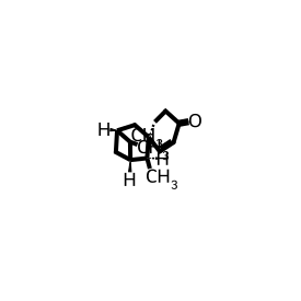 C[C@H]1[C@@H]2C[C@H](C[C@@]13C=CC(=O)CC3)C2(C)C